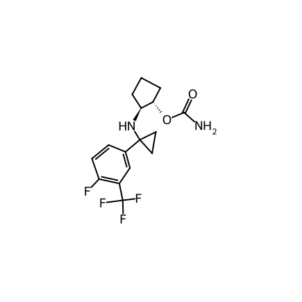 NC(=O)O[C@H]1CCC[C@@H]1NC1(c2ccc(F)c(C(F)(F)F)c2)CC1